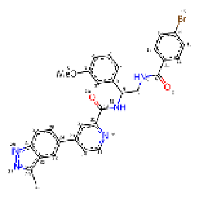 COc1cccc(C(CNC(=O)c2ccc(Br)cc2)NC(=O)c2cc(-c3ccc4[nH]nc(C)c4c3)ccn2)c1